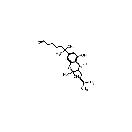 CC(C)=CCC1[C@@H](C)c2c(O)cc(C(C)(C)CCCCC=O)cc2OC1(C)C